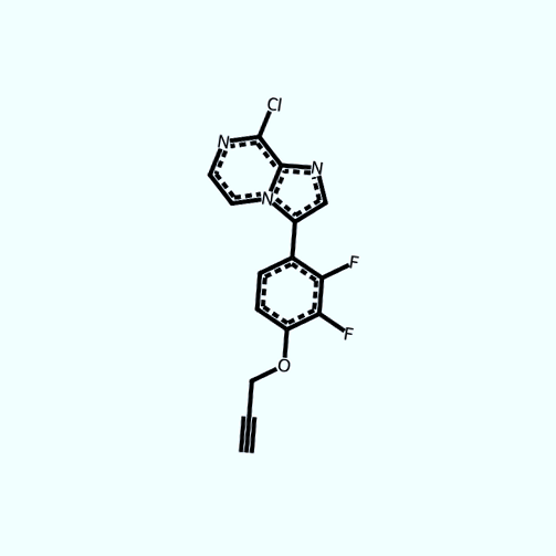 C#CCOc1ccc(-c2cnc3c(Cl)nccn23)c(F)c1F